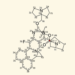 CC(C)(C)OC(=O)N1C2CCC1CN(c1nc(OCC34CCCN3CCC4)nc3c(F)c(-c4cccc5cccc(C6CC6)c45)ncc13)C2